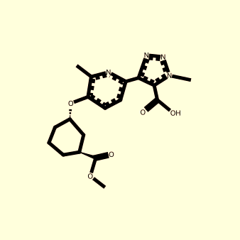 COC(=O)[C@H]1CCC[C@H](Oc2ccc(-c3nnn(C)c3C(=O)O)nc2C)C1